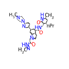 C=NNC(=O)Cn1ccc2c(C(=O)NCc3c(CCC)cc(C)[nH]c3=O)cc(-c3ccc(N4CCN(C)CC4)nc3)cc21